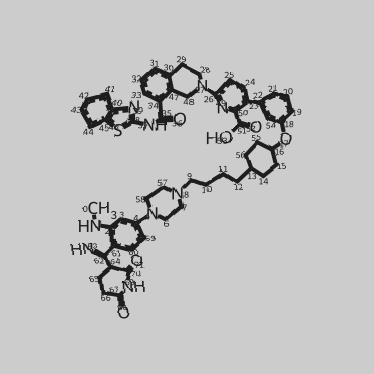 CNc1cc(N2CCN(CCCCC3CCC(Oc4cccc(-c5ccc(N6CCc7cccc(C(=O)Nc8nc9ccccc9s8)c7C6)nc5C(=O)O)c4)CC3)CC2)ccc1C(=N)C1CCC(=O)NC1=O